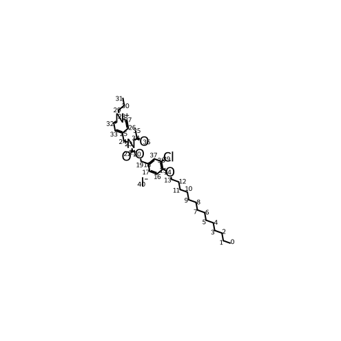 CCCCCCCCCCCCCCOc1ccc(COC(=O)N(Cc2cc[n+](CCC)cc2)C(C)=O)cc1Cl.[I-]